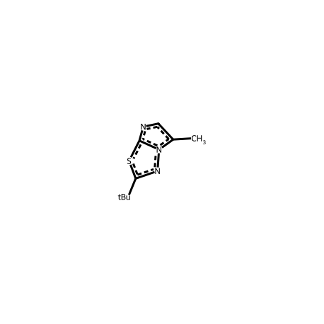 Cc1cnc2sc(C(C)(C)C)nn12